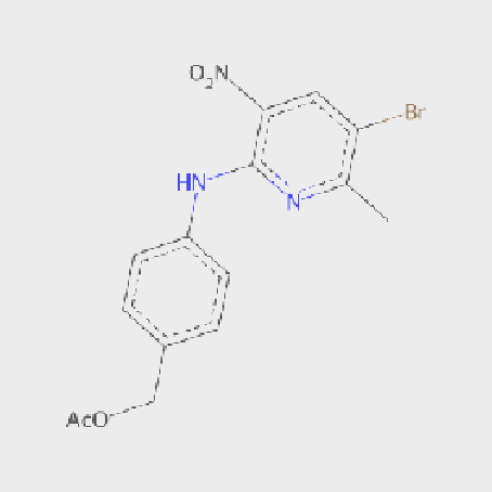 CC(=O)OCc1ccc(Nc2nc(C)c(Br)cc2[N+](=O)[O-])cc1